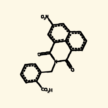 O=C(O)c1ccccc1CN1C(=O)c2cccc3cc([N+](=O)[O-])cc(c23)C1=O